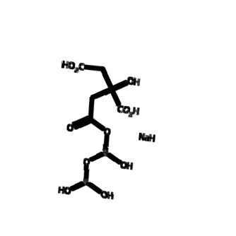 O=C(O)CC(O)(CC(=O)OB(O)OB(O)O)C(=O)O.[NaH]